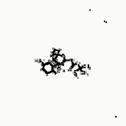 CC(C)(C)OC(=O)NC1=N[C@@](C)(c2cc(N)ccc2F)C(F)(F)C2(CCC2)O1